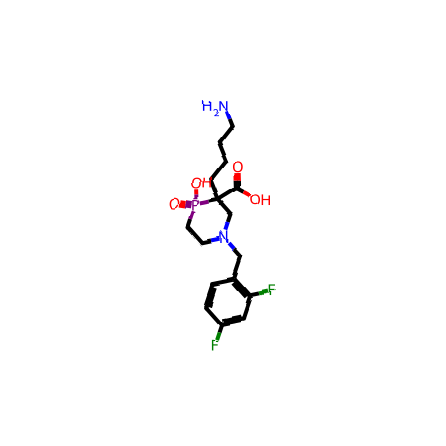 NCCCCC1(C(=O)O)CN(Cc2ccc(F)cc2F)CCP1(=O)O